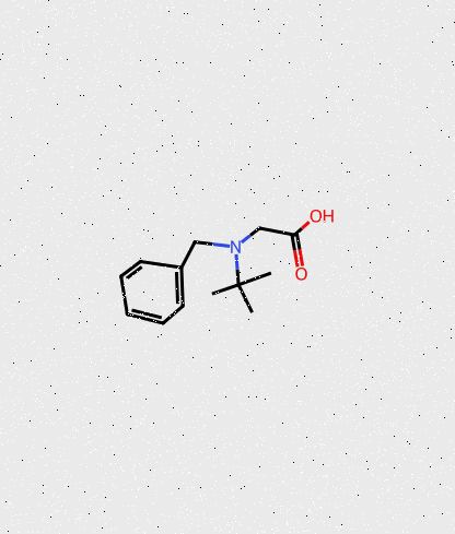 CC(C)(C)N(CC(=O)O)Cc1ccccc1